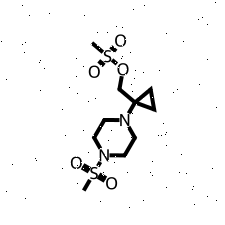 CS(=O)(=O)OCC1(N2CCN(S(C)(=O)=O)CC2)CC1